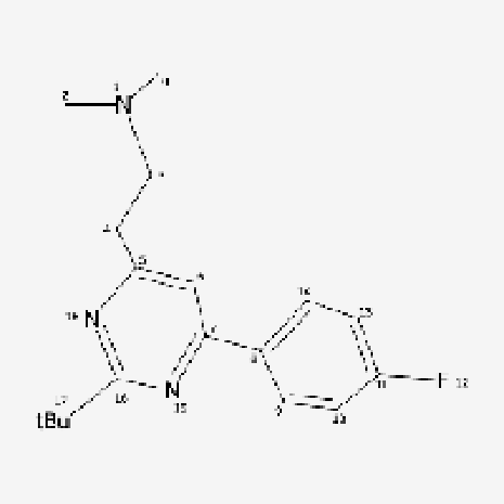 CN(C)CCc1cc(-c2ccc(F)cc2)nc(C(C)(C)C)n1